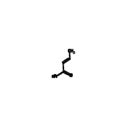 C/C=C/C(=O)CCC